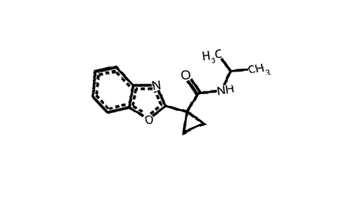 CC(C)NC(=O)C1(c2nc3ccccc3o2)CC1